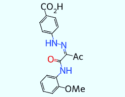 COc1ccccc1NC(=O)/C(=N\Nc1ccc(C(=O)O)cc1)C(C)=O